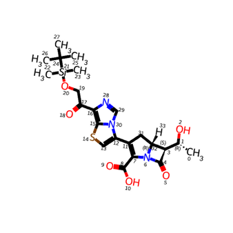 C[C@@H](O)[C@H]1C(=O)N2C(C(=O)O)=C(c3csc4c(C(=O)CO[Si](C)(C)C(C)(C)C)ncn34)C[C@H]12